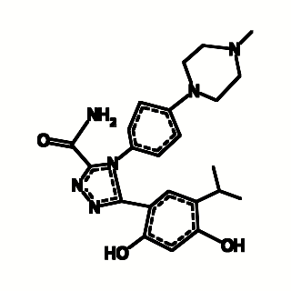 CC(C)c1cc(-c2nnc(C(N)=O)n2-c2ccc(N3CCN(C)CC3)cc2)c(O)cc1O